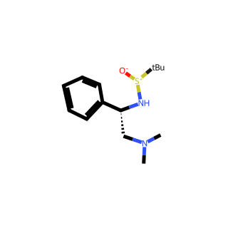 CN(C)C[C@@H](N[S+]([O-])C(C)(C)C)c1ccccc1